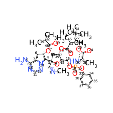 C/N=C\[C@@]1(c2ccc3c(N)ncnn23)O[C@H](COP(=O)(N[C@@H](C)C(=O)OCCC(C)(C)C)Oc2ccccc2)[C@@H](OC(=O)C(C)C)[C@H]1OC(=O)C(C)C